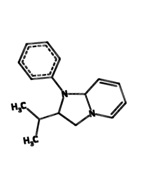 CC(C)C1CN2C=CC=CC2N1c1ccccc1